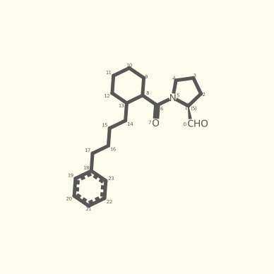 O=C[C@@H]1CCCN1C(=O)C1CCCCC1CCCCc1ccccc1